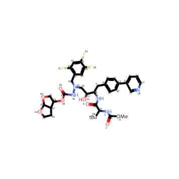 COC(=O)NC(C(=O)NC(Cc1ccc(-c2cccnc2)cc1)C(O)CN(Cc1cc(F)c(F)cc1F)NC(=O)OC1COC2OCCC12)C(C)(C)C